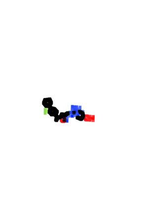 CC(c1ccc(-c2ccccc2)c(F)c1)c1cc(C/N=C(\N)N2CCC(O)CC2)no1